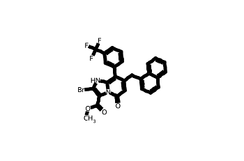 COC(=O)c1c(Br)[nH]c2c(-c3cccc(C(F)(F)F)c3)c(Cc3cccc4ccccc34)cc(=O)n12